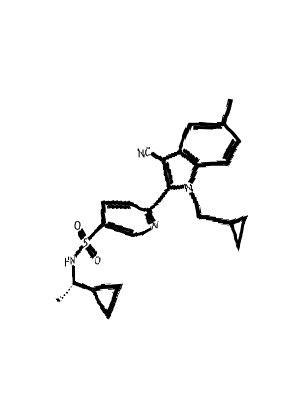 Cc1ccc2c(c1)c(C#N)c(-c1ccc(S(=O)(=O)N[C@@H](C)C3CC3)cn1)n2CC1CC1